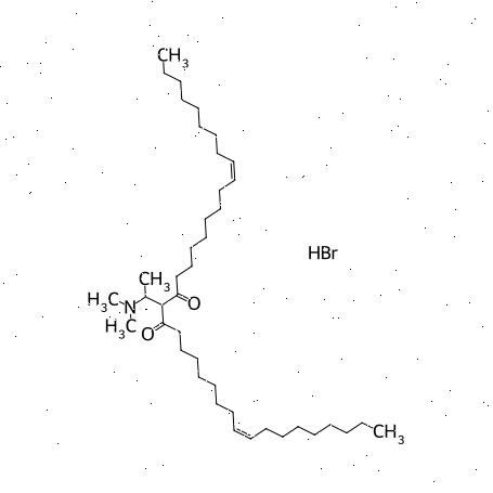 Br.CCCCCCCC/C=C\CCCCCCCC(=O)C(C(=O)CCCCCCC/C=C\CCCCCCCC)C(C)N(C)C